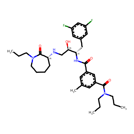 CCCN(CCC)C(=O)c1cc(C)cc(C(=O)N[C@@H](Cc2cc(F)cc(F)c2)[C@H](O)CN[C@@H]2CCCCN(CCC)C2=O)c1